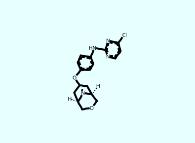 CN1[C@@H]2COC[C@H]1CC(Oc1ccc(Nc3nccc(Cl)n3)cc1)C2